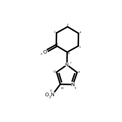 O=C1CCCCC1n1cnc([N+](=O)[O-])c1